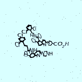 O=C(CCc1ccc(Cl)cc1Cl)Nc1c(Cl)ccc2nc(N3CCNCC3)ccc12.O=C(NCCc1c(Cl)cccc1Cl)c1c(Cl)ccc2nc(N3CCC(C(=O)O)CC3)ccc12